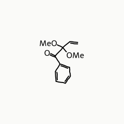 C=CC(OC)(OC)C(=O)c1ccccc1